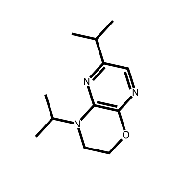 CC(C)c1cnc2c(n1)N(C(C)C)CCO2